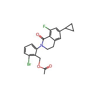 CC(=O)OCc1c(Br)cccc1N1CCc2cc(C3CC3)cc(F)c2C1=O